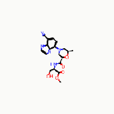 COC(=O)C(CO)NC(=O)[C@H]1CN(c2ccc(C#N)c3nccnc23)C[C@@H](C)O1